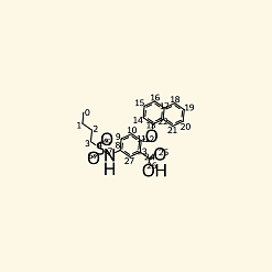 CCCCS(=O)(=O)Nc1ccc(Oc2cccc3ccccc23)c(C(=O)O)c1